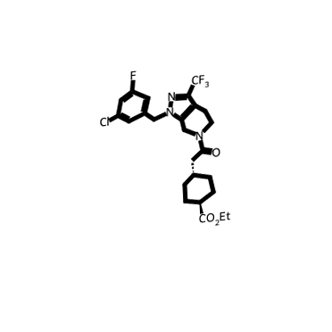 CCOC(=O)[C@H]1CC[C@H](CC(=O)N2CCc3c(C(F)(F)F)nn(Cc4cc(F)cc(Cl)c4)c3C2)CC1